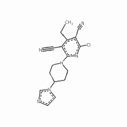 CCc1c(C#N)c(Cl)nc(N2CCC(n3ccnc3)CC2)c1C#N